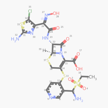 CCS(=O)(=O)C(N)c1cnccc1SC1=C(C(=O)O)N2C(=O)[C@@H](NC(=O)/C(=N\O)c3nc(N)sc3Cl)[C@@H]2SC1